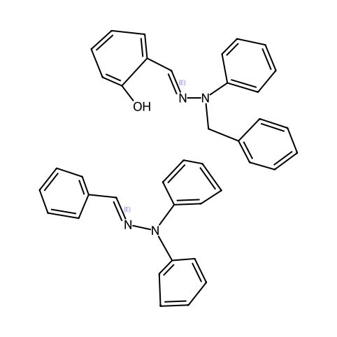 C(=N\N(c1ccccc1)c1ccccc1)/c1ccccc1.Oc1ccccc1/C=N/N(Cc1ccccc1)c1ccccc1